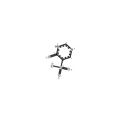 O=c1[nH]cncc1S(=O)(=O)Cl